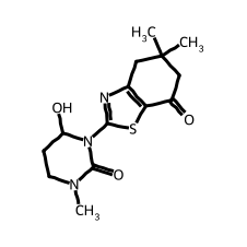 CN1CCC(O)N(c2nc3c(s2)C(=O)CC(C)(C)C3)C1=O